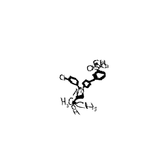 CC(C)(O)c1cn(-c2ccc(-c3cccc(S(C)(=O)=O)c3)cc2)c(-c2cccc(Cl)c2)n1